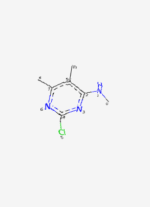 CNc1nc(Cl)nc(C)c1C